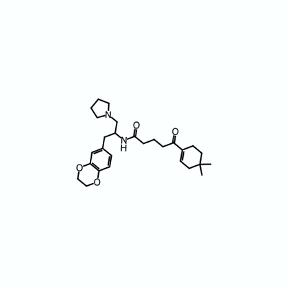 CC1(C)CC=C(C(=O)CCCC(=O)NC(Cc2ccc3c(c2)OCCO3)CN2CCCC2)CC1